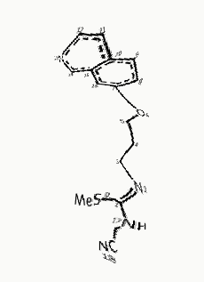 CS/C(=N\CCCOc1ccc2ccncc2c1)NC#N